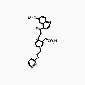 COc1ccc2nccc(C(F)CC[C@@H]3CCN(CCSc4cccnn4)C[C@@H]3CC(=O)O)c2c1